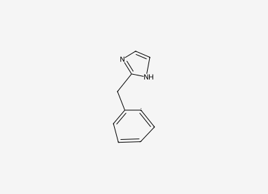 [c]1ccccc1Cc1ncc[nH]1